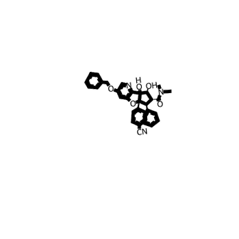 CN(C)C(=O)[C@H]1[C@@H](O)C2(O)c3ncc(OCc4ccccc4)cc3O[C@@]2(c2ccc(C#N)cc2)[C@@H]1c1ccccc1